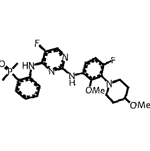 COc1c(Nc2ncc(F)c(Nc3ccccc3P(C)(C)=O)n2)ccc(F)c1N1CCC(OC)CC1